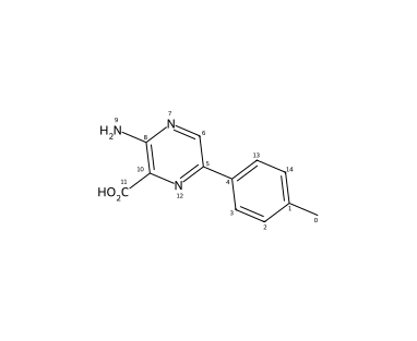 Cc1ccc(-c2cnc(N)c(C(=O)O)n2)cc1